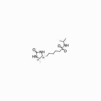 CC(C)NS(=O)(=O)CCCCC[C@H]1NC(=O)N[C@H]1C